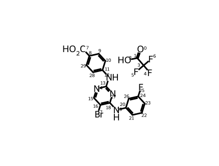 O=C(O)C(F)(F)F.O=C(O)c1ccc(Nc2ncc(Br)c(Nc3cccc(F)c3)n2)cc1